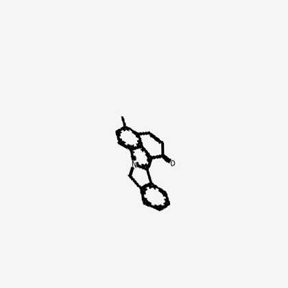 Cc1ccc2c3c1C=CC(=O)c3c1n2Cc2ccccc2-1